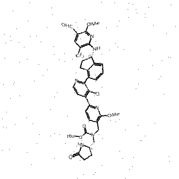 COc1nc(N[C@H]2CCc3c(-c4nccc(-c5ccc(CN(C[C@@H]6CCC(=O)N6)C(=O)OC(C)(C)C)c(OC)n5)c4Cl)cccc32)c(C(F)(F)F)cc1C=O